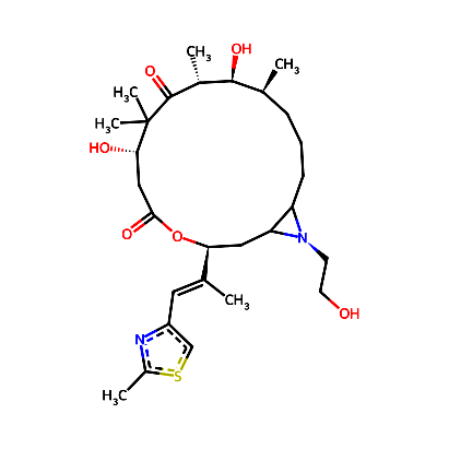 C/C(=C\c1csc(C)n1)[C@@H]1CC2C(CCC[C@H](C)[C@H](O)[C@@H](C)C(=O)C(C)(C)[C@@H](O)CC(=O)O1)[N@@]2CCO